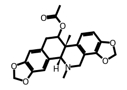 CC(=O)OC1Cc2cc3c(cc2[C@H]2N(C)Cc4c(ccc5c4OCO5)[C@@]12C)OCO3